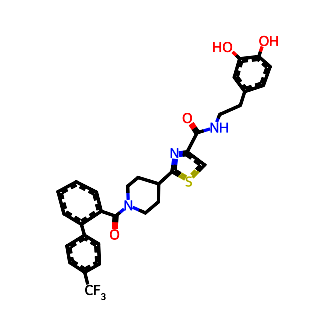 O=C(NCCc1ccc(O)c(O)c1)c1csc(C2CCN(C(=O)c3ccccc3-c3ccc(C(F)(F)F)cc3)CC2)n1